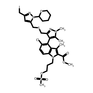 COC(=O)c1c(C)c2c(-c3c(CSCc4cc(CI)nn4C4CCCCO4)nn(C)c3C)c(Cl)ccc2n1CCCOS(C)(=O)=O